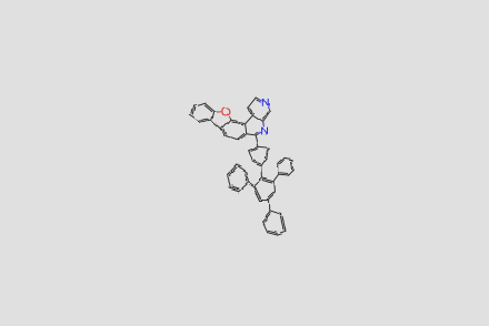 c1ccc(-c2cc(-c3ccccc3)c(-c3ccc(-c4nc5cnccc5c5c4ccc4c6ccccc6oc45)cc3)c(-c3ccccc3)c2)cc1